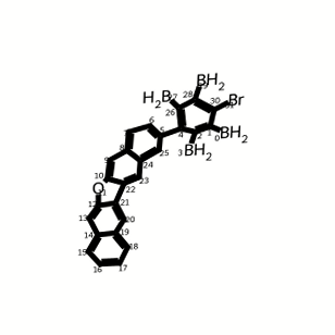 Bc1c(B)c(-c2ccc3cc4oc5cc6ccccc6cc5c4cc3c2)c(B)c(B)c1Br